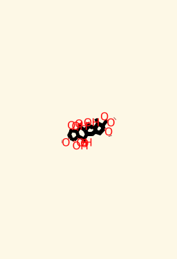 COC(=O)c1c(OC)cc2cc3c(c(O)c2c1C)C(=O)C1(O)C(=O)C=C(OC)C(O)C1(O)C3=O